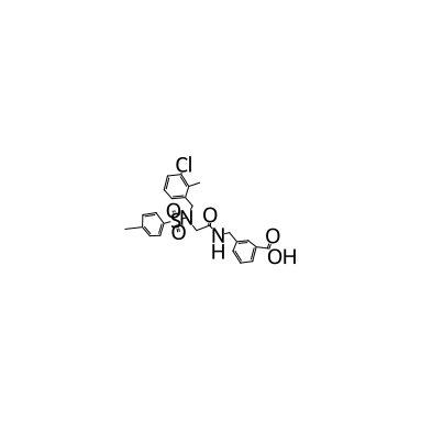 Cc1ccc(S(=O)(=O)N(CC(=O)NCc2cccc(C(=O)O)c2)Cc2cccc(Cl)c2C)cc1